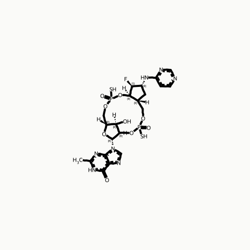 Cc1nc2c(ncn2[C@@H]2O[C@@H]3COP(=O)(S)O[C@@H]4[C@@H](COP(=O)(S)O[C@@H]2[C@@H]3O)C[C@@H](Nc2ccncn2)[C@@H]4F)c(=O)[nH]1